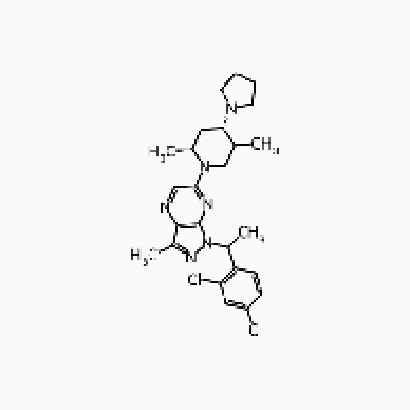 Cc1nn(C(C)c2ccc(Cl)cc2Cl)c2nc(N3CC(C)[C@@H](N4CCCC4)C[C@@H]3C)cnc12